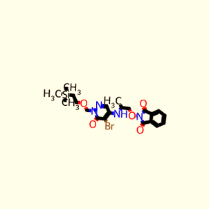 CC(CON1C(=O)c2ccccc2C1=O)Nc1cnn(COCC[Si](C)(C)C)c(=O)c1Br